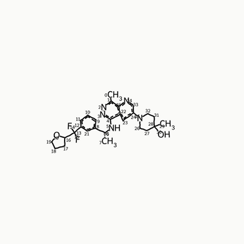 Cc1nnc(N[C@H](C)c2cccc(C(F)(F)C3CCCO3)c2)c2cc(N3CCC(C)(O)CC3)cnc12